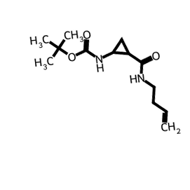 C=CCCNC(=O)C1CC1NC(=O)OC(C)(C)C